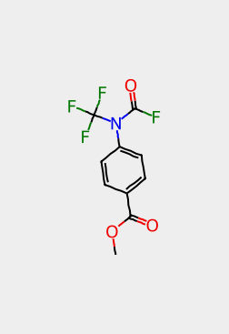 COC(=O)c1ccc(N(C(=O)F)C(F)(F)F)cc1